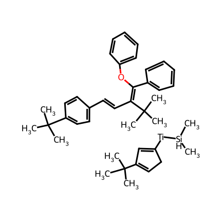 CC(C)(C)C(C=Cc1ccc(C(C)(C)C)cc1)=C(Oc1ccccc1)c1ccccc1.C[SiH](C)[Ti][C]1=CC(C(C)(C)C)=CC1